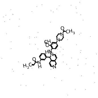 C=CC(=O)Nc1cccc(C2c3ccncc3C=CN2Nc2ccc(N3CCN(C(C)=O)CC3)cc2OC)c1